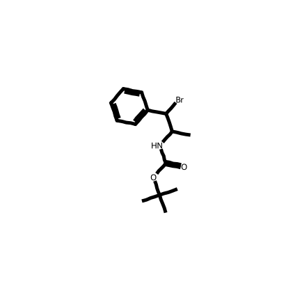 CC(NC(=O)OC(C)(C)C)C(Br)c1ccccc1